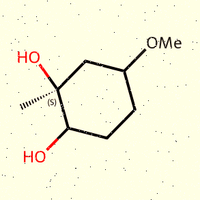 COC1CCC(O)[C@@](C)(O)C1